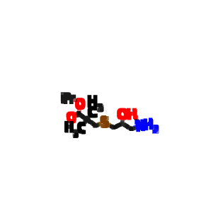 CC(C)OC(=O)C(C)(C)CSCC(O)CN